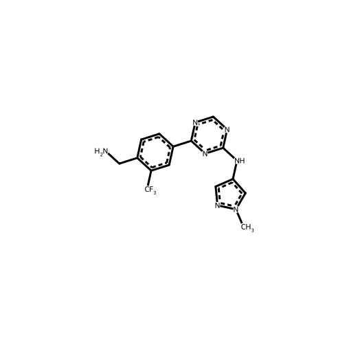 Cn1cc(Nc2ncnc(-c3ccc(CN)c(C(F)(F)F)c3)n2)cn1